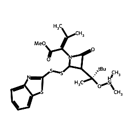 COC(=O)C(=C(C)C)N1C(=O)C([C@](C)(O[SiH](C)C)C(C)(C)C)C1SSc1nc2ccccc2s1